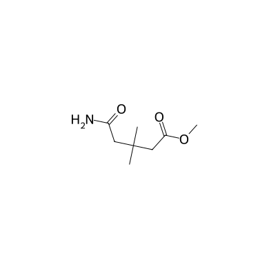 COC(=O)CC(C)(C)CC(N)=O